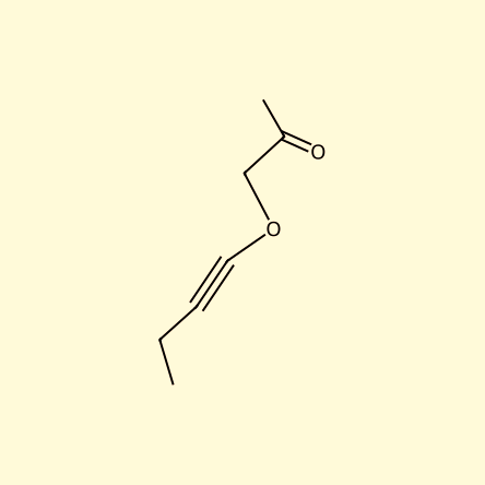 CCC#COCC(C)=O